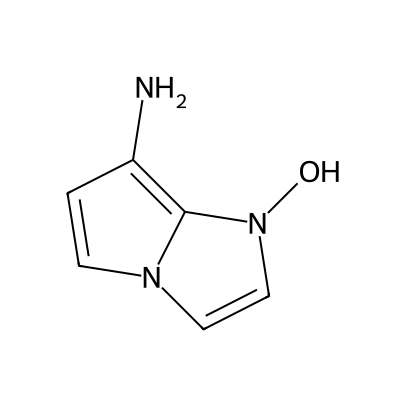 Nc1ccn2ccn(O)c12